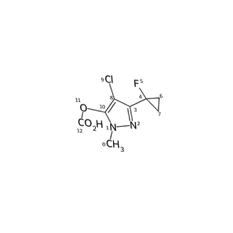 Cn1nc(C2(F)CC2)c(Cl)c1OC(=O)O